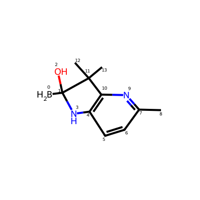 BC1(O)Nc2ccc(C)nc2C1(C)C